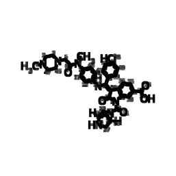 CN1CCN(CC(=O)N(C)c2ccc(N/C(=C3\C(=O)N(C(=O)N4C[C@@H]5C[C@H]4CN5)c4cc(C(=O)O)ccc43)c3ccccc3)cc2)CC1.Cl